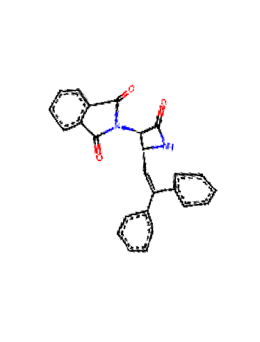 O=C1N[C@@H](C=C(c2ccccc2)c2ccccc2)[C@H]1N1C(=O)c2ccccc2C1=O